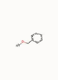 CCCOCc1cc[c]cc1